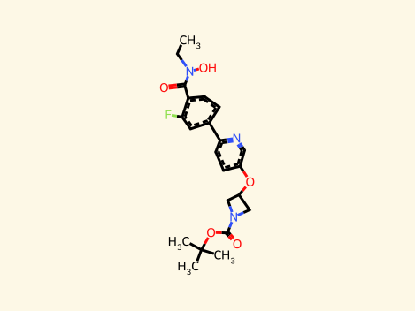 CCN(O)C(=O)c1ccc(-c2ccc(OC3CN(C(=O)OC(C)(C)C)C3)cn2)cc1F